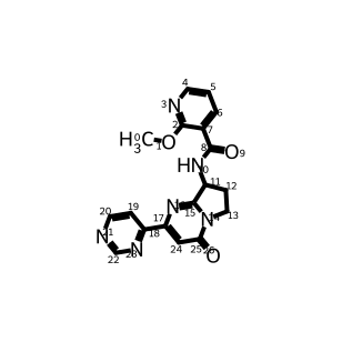 COc1ncccc1C(=O)NC1CCn2c1nc(-c1ccncn1)cc2=O